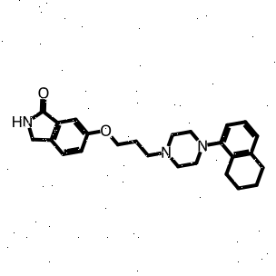 O=C1NCc2ccc(OCCCN3CCN(c4cccc5c4CCCC5)CC3)cc21